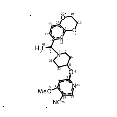 COc1cc(OC2CCN(C(C)c3ccc4c(n3)OCCO4)CC2)ncc1C#N